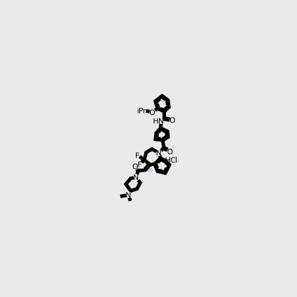 CC(C)Oc1ccccc1C(=O)Nc1ccc(C(=O)N2CCC(F)(F)/C(=C\C(=O)N3CCC(N(C)C)CC3)c3ccccc32)cc1.Cl